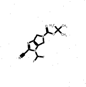 CC(C)(C)OC(=O)N1Cc2nc(C#N)n(C(F)F)c2C1